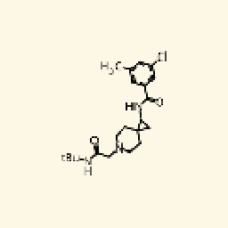 Cc1cc(Cl)cc(C(=O)N[C@H]2CC23CCN(CC(=O)NC(C)(C)C)CC3)c1